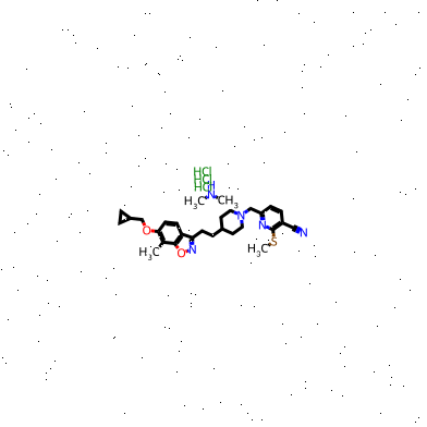 CNC.CSc1nc(CN2CCC(CCc3noc4c(C)c(OCC5CC5)ccc34)CC2)ccc1C#N.Cl.Cl.Cl